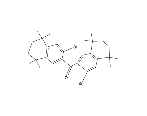 CC1(C)CCC(C)(C)c2cc(C(=O)c3cc4c(cc3Br)C(C)(C)CCC4(C)C)c(Br)cc21